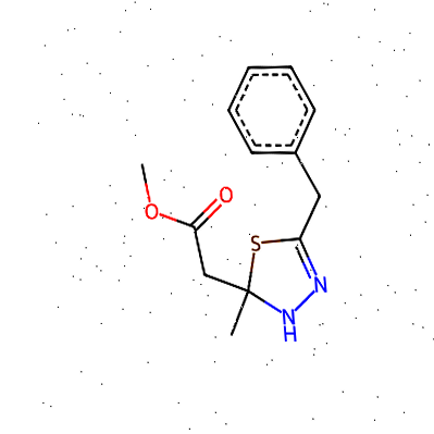 COC(=O)CC1(C)NN=C(Cc2ccccc2)S1